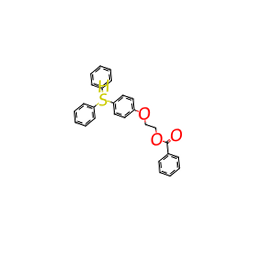 O=C(OCCOc1ccc([SH](c2ccccc2)c2ccccc2)cc1)c1ccccc1